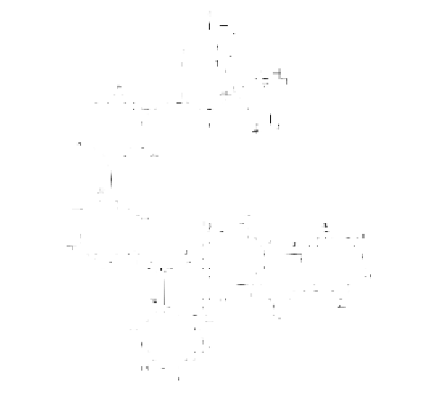 CC1(C)OB(c2cccc(-c3cccc(-n4c5ccccc5c5c6oc7ccccc7c6ccc54)c3)c2)OC1(C)C